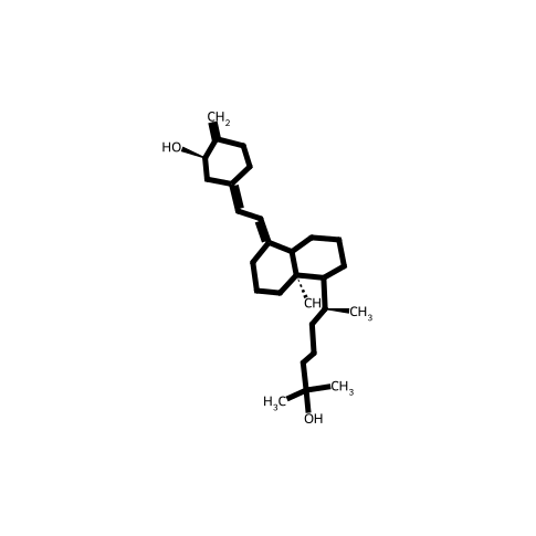 C=C1CC/C(=C\C=C2/CCC[C@@]3(C)C2CCCC3[C@@H](C)CCCC(C)(C)O)C[C@H]1O